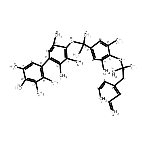 C=C/C=C(\C=C/C)CC(C)(C)Oc1c(C)cc(C(C)(C)Oc2c(C)cc(-c3cc(C)c(O)c(C)c3C)c(C)c2C)cc1C